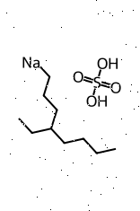 CCCCC(CC)CC[CH2][Na].O=S(=O)(O)O